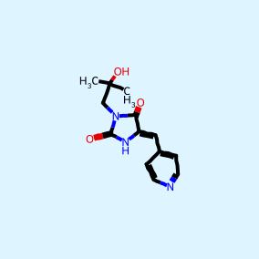 CC(C)(O)CN1C(=O)N/C(=C\c2ccncc2)C1=O